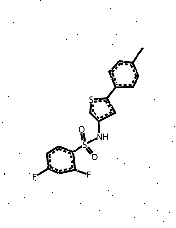 Cc1ccc(-c2cc(NS(=O)(=O)c3ccc(F)cc3F)cs2)cc1